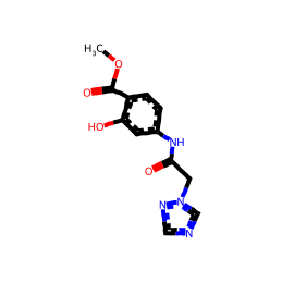 COC(=O)c1ccc(NC(=O)Cn2cncn2)cc1O